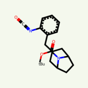 CC(C)(C)OC(=O)N1C2CCC1CC(Cc1ccccc1N=C=O)C2